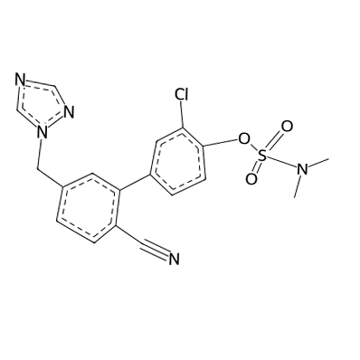 CN(C)S(=O)(=O)Oc1ccc(-c2cc(Cn3cncn3)ccc2C#N)cc1Cl